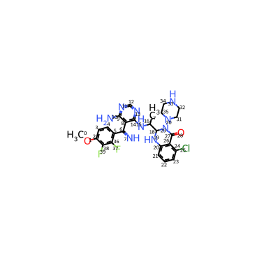 COc1ccc(C(=N)c2c(N)ncnc2NC(C)C2Nc3cccc(Cl)c3C(=O)N2N2CCNCC2)c(F)c1F